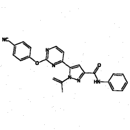 C=C(C)n1nc(C(=O)Nc2ccccc2)cc1-c1ccnc(Oc2ccc(C#N)cc2)n1